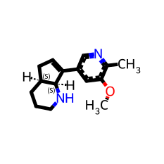 COc1cc(C2=CC[C@@H]3CCCN[C@H]23)cnc1C